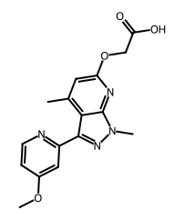 COc1ccnc(-c2nn(C)c3nc(OCC(=O)O)cc(C)c23)c1